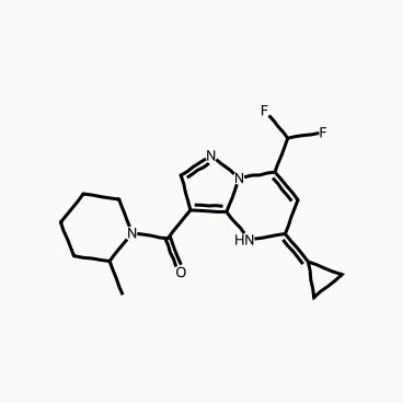 CC1CCCCN1C(=O)c1cnn2c1NC(=C1CC1)C=C2C(F)F